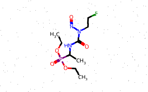 CCOP(=O)(OCC)C(C)NC(=O)N(CCF)N=O